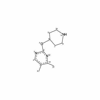 Cc1cnc(OC2CCNCC2)nc1C